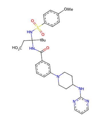 COc1ccc(S(=O)(=O)NC(CC(=O)O)(NC(=O)c2cccc(N3CCC(Nc4ncccn4)CC3)c2)C(C)(C)C)cc1